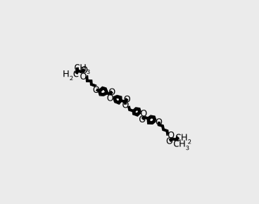 C=C(C)C(=O)OCCCCCOc1ccc(C(=O)Oc2ccc(CCOC(=O)c3ccc(OC(=O)c4ccc(OCCCCCOC(=O)C(=C)C)cc4)cc3)cc2)cc1